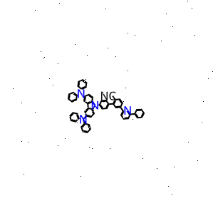 N#Cc1ccc(-c2cccc(-c3ccccc3)n2)cc1-c1ccc(-n2c3ccc(N(c4ccccc4)c4ccccc4)cc3c3cc(N(c4ccccc4)c4ccccc4)ccc32)cc1